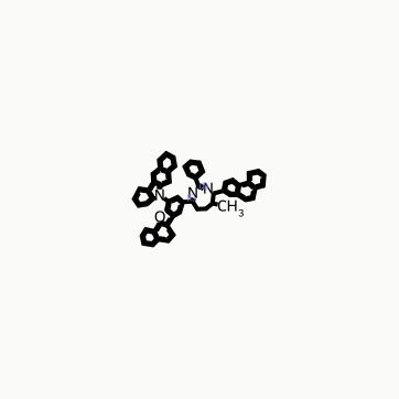 CC1CC/C(c2cc(-n3c4ccccc4c4cc5ccccc5cc43)c3oc4c5ccccc5ccc4c3c2)=N\C(c2ccccc2)=N/C1c1ccc2c(ccc3ccccc32)c1